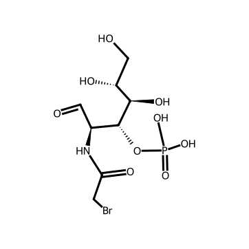 O=C[C@H](NC(=O)CBr)[C@@H](OP(=O)(O)O)[C@H](O)[C@H](O)CO